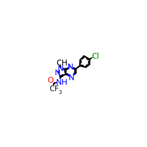 Cn1nc(NC(=O)C(F)(F)F)c2ncc(-c3ccc(Cl)cc3)nc21